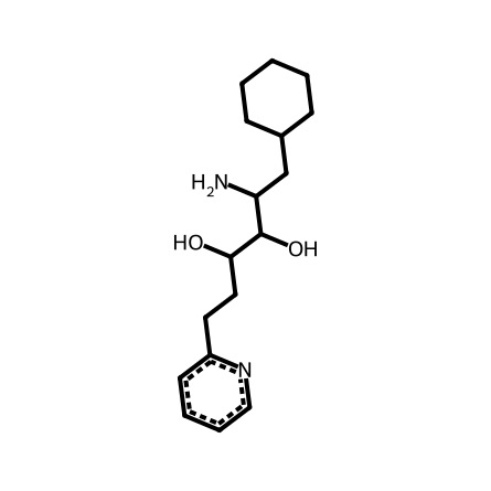 NC(CC1CCCCC1)C(O)C(O)CCc1ccccn1